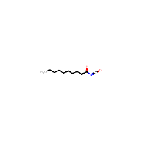 CCCCCCCCCC(=O)N=C=O